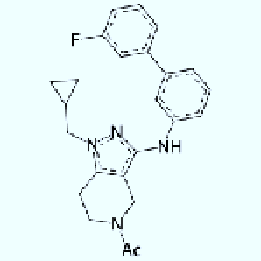 CC(=O)N1CCc2c(c(Nc3cccc(-c4cccc(F)c4)c3)nn2CC2CC2)C1